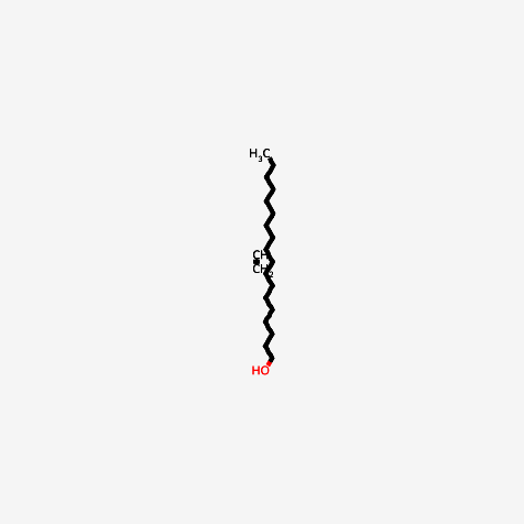 C=C.CCCCCCCCCCCCCCCCCCO